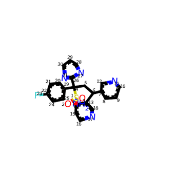 NS(=O)(=O)C(CC(c1cccnc1)c1cccnc1)(c1ccc(F)cc1)c1ncccn1